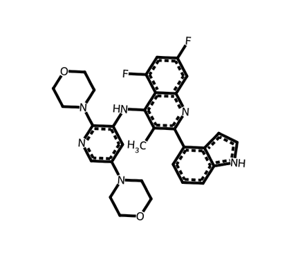 Cc1c(-c2cccc3[nH]ccc23)nc2cc(F)cc(F)c2c1Nc1cc(N2CCOCC2)cnc1N1CCOCC1